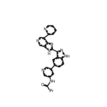 CC(C)C(=O)Nc1cncc(-c2ccc3[nH]nc(-c4nc5c(-c6ccccn6)cncc5[nH]4)c3c2)c1